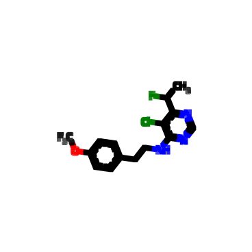 CC(F)c1ncnc(NCCc2ccc(OC(F)(F)F)cc2)c1Cl